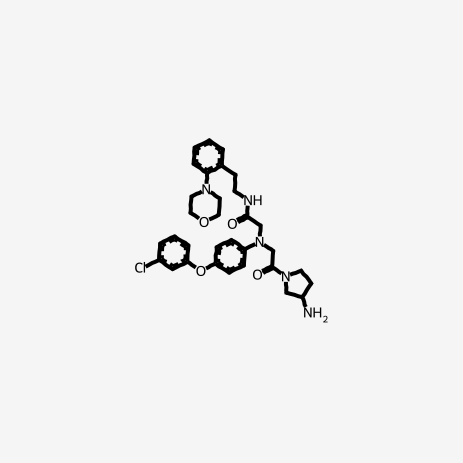 NC1CCN(C(=O)CN(CC(=O)NCCc2ccccc2N2CCOCC2)c2ccc(Oc3cccc(Cl)c3)cc2)C1